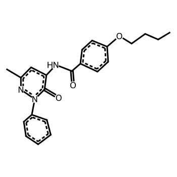 CCCCOc1ccc(C(=O)Nc2cc(C)nn(-c3ccccc3)c2=O)cc1